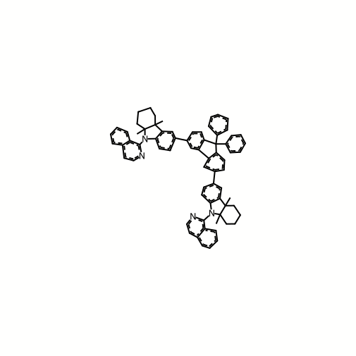 CC12CCCCC1(C)N(c1nccc3ccccc13)c1ccc(-c3ccc4c(c3)-c3cc(-c5ccc6c(c5)C5(C)CCCCC5(C)N6c5nccc6ccccc56)ccc3C4(c3ccccc3)c3ccccc3)cc12